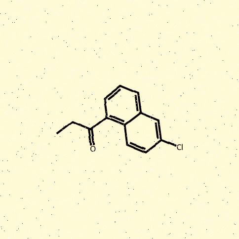 CCC(=O)c1cccc2cc(Cl)ccc12